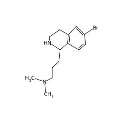 CN(C)CCCC1NCCc2cc(Br)ccc21